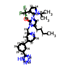 CCCCc1cn(-c2c(C(F)(F)F)ccn2C(C)C)c(=O)n1Cc1cc(-c2cccc(-c3nnn[nH]3)c2)ccn1